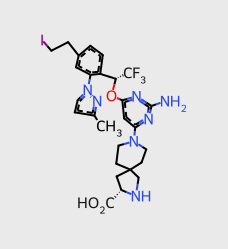 Cc1ccn(-c2cc(CCI)ccc2[C@@H](Oc2cc(N3CCC4(CC3)CN[C@H](C(=O)O)C4)nc(N)n2)C(F)(F)F)n1